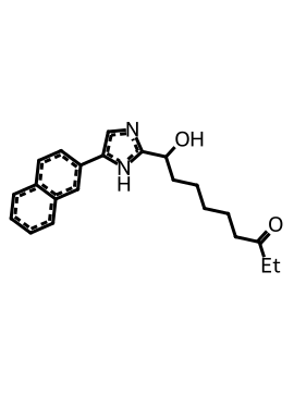 CCC(=O)CCCCCC(O)c1ncc(-c2ccc3ccccc3c2)[nH]1